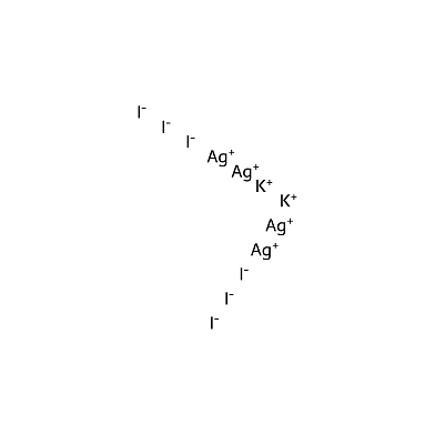 [Ag+].[Ag+].[Ag+].[Ag+].[I-].[I-].[I-].[I-].[I-].[I-].[K+].[K+]